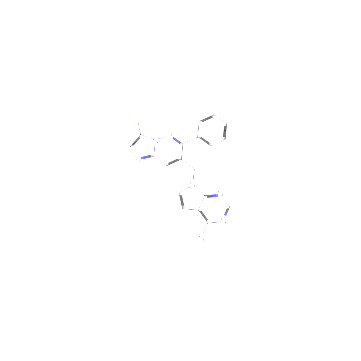 C[C@@H](c1cc2ncc(Cl)n2nc1-c1ccccc1)n1ccc2c(N)ncnc21